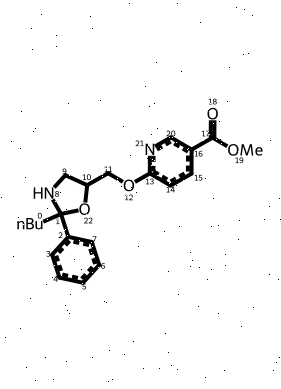 CCCCC1(c2ccccc2)NCC(COc2ccc(C(=O)OC)cn2)O1